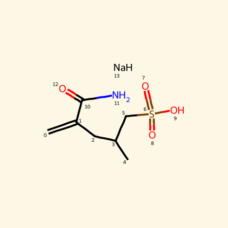 C=C(CC(C)CS(=O)(=O)O)C(N)=O.[NaH]